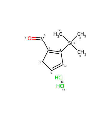 C[Si](C)(C)C1=[C]([V]=[O])CC=C1.Cl.Cl